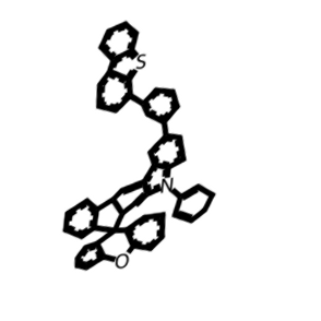 C1=CC(n2c3c(c4cc(-c5cccc(-c6cccc7c6sc6ccccc67)c5)ccc42)=CC2c4ccccc4C4(c5ccccc5Oc5ccccc54)C2C=3)=CCC1